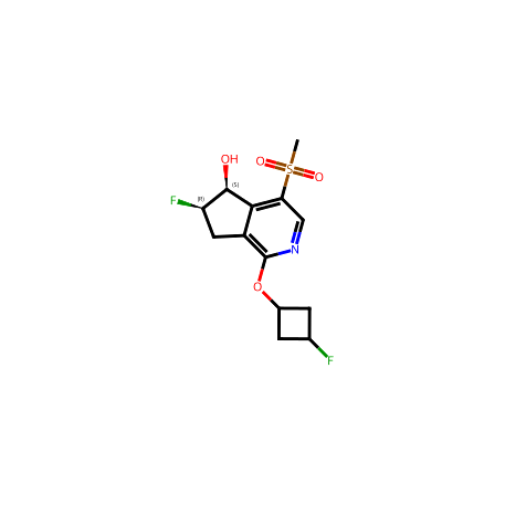 CS(=O)(=O)c1cnc(OC2CC(F)C2)c2c1[C@H](O)[C@H](F)C2